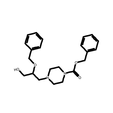 O=C(OCc1ccccc1)N1CCN(CC(CO)OCc2ccccc2)CC1